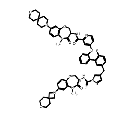 CN1C(=O)C(NC(=O)c2cc(Oc3ccccc3-c3cc(Cc4cnn(C(=O)N[C@@H]5COc6ccc(N7CC8(CCOCC8)C7)cc6N(C)C5=O)c4)ccc3F)ccn2)COc2cc(N3CCC4(CCOCC4)CC3)ccc21